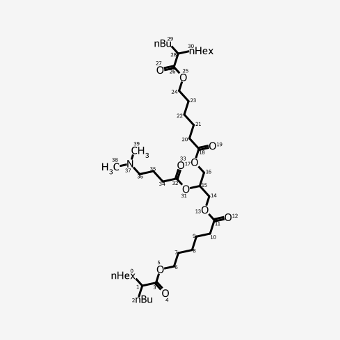 CCCCCCC(CCCC)C(=O)OCCCCCC(=O)OCC(COC(=O)CCCCCOC(=O)C(CCCC)CCCCCC)OC(=O)CCCN(C)C